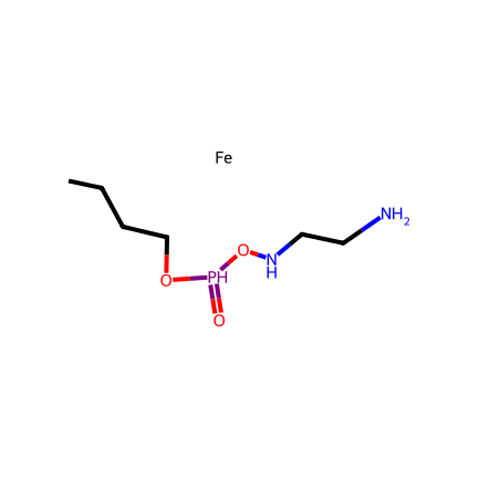 CCCCO[PH](=O)ONCCN.[Fe]